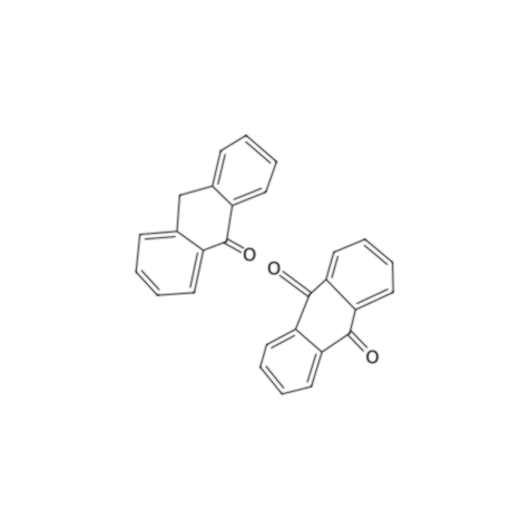 O=C1c2ccccc2C(=O)c2ccccc21.O=C1c2ccccc2Cc2ccccc21